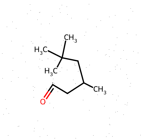 CC(C[C]=O)CC(C)(C)C